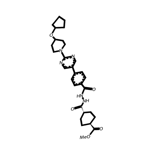 COC(=O)[C@H]1CC[C@H](C(=O)NNC(=O)c2ccc(-c3cnc(N4CCC(OC5CCCC5)CC4)nc3)cc2)CC1